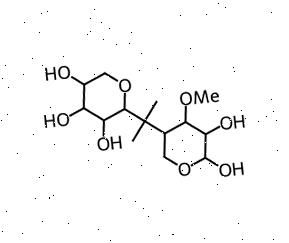 COC1C(O)C(O)OCC1C(C)(C)C1OCC(O)C(O)C1O